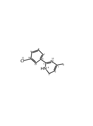 CC1=C[CH]NC(c2cccc(Cl)c2)=N1